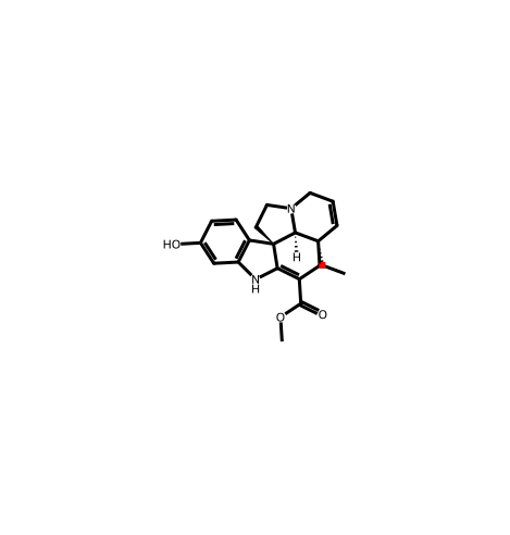 CC[C@]12C=CCN3CC[C@]4(C(=C(C(=O)OC)C1)Nc1cc(O)ccc14)[C@@H]32